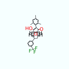 Cc1cc(C)c(C2=C(O)[C@H]3[C@@H](C2=O)[C@@H]2CC(c4cccc(C(F)(F)F)c4)[C@H]3O2)c(C)c1